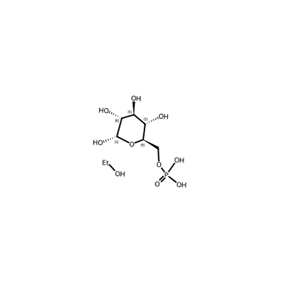 CCO.O=P(O)(O)OC[C@H]1O[C@H](O)[C@H](O)[C@@H](O)[C@@H]1O